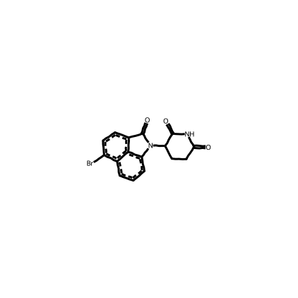 O=C1CCC(N2C(=O)c3ccc(Br)c4cccc2c34)C(=O)N1